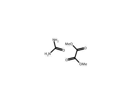 COC(=O)C(=O)OC.NC(N)=O